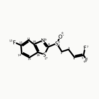 [O-][S+](CCC=C(F)F)c1nc2cc(F)ccc2s1